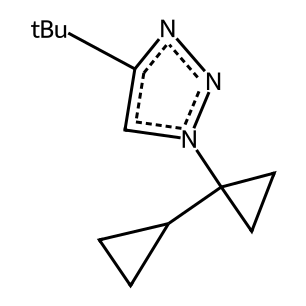 CC(C)(C)c1cn(C2(C3CC3)CC2)nn1